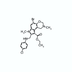 CCOC(=O)c1c(CNc2ccc(Cl)cc2)n(C)c2cc(Br)c3c(c12)CN(C)CO3